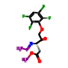 O=C(C[C@H](N=PP)C(=O)COc1c(F)c(F)cc(F)c1F)OP